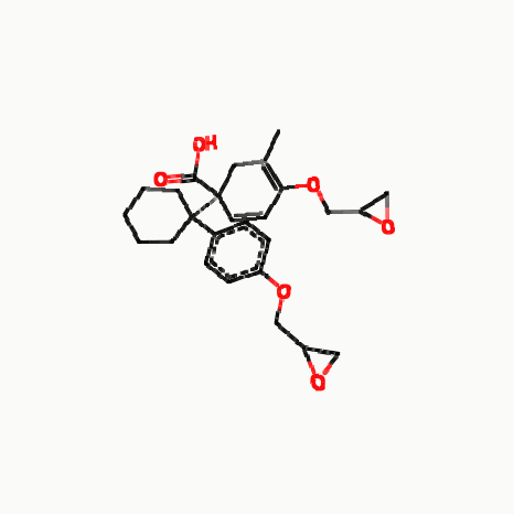 CC1=C(OCC2CO2)C=CC(C(=O)O)(C2(c3ccc(OCC4CO4)cc3)CCCCC2)C1